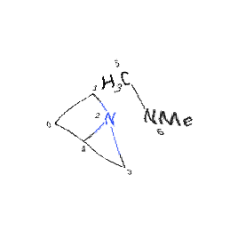 C1CN2CC12.CNC